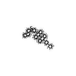 c1ccc(-c2ccc(-c3c4ccccc4c(-c4c5ccccc5c(-c5ccc6sc7ccc8c9ccccc9ccc8c7c6c5)c5ccccc45)c4ccccc34)cc2)cc1